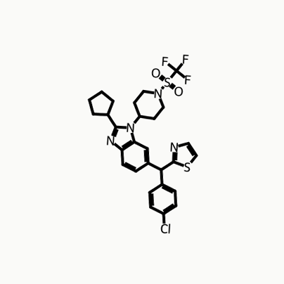 O=S(=O)(N1CCC(n2c(C3CCCC3)nc3ccc(C(c4ccc(Cl)cc4)c4nccs4)cc32)CC1)C(F)(F)F